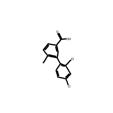 Cc1ccc(C(=O)O)cc1-c1ccc(Cl)cc1Cl